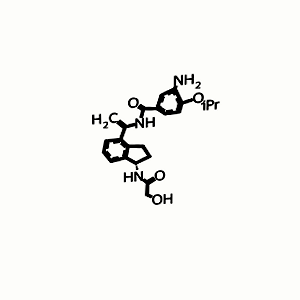 C=C(NC(=O)c1ccc(OC(C)C)c(N)c1)c1cccc2c1CC[C@@H]2NC(=O)CO